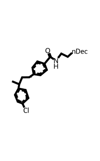 CCCCCCCCCCCCNC(=O)c1ccc([CH]CC(C)c2ccc(Cl)cc2)cc1